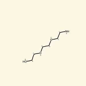 [NH]CCOCCOCCO